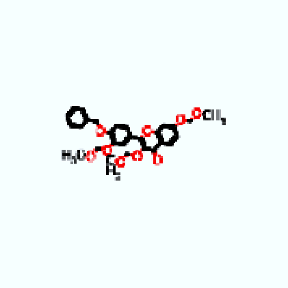 COCOc1ccc2c(=O)c(OCOC)c(-c3ccc(OCc4ccccc4)c(OCOC)c3)oc2c1